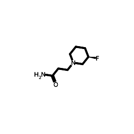 NC(=O)CCN1CCC[C@@H](F)C1